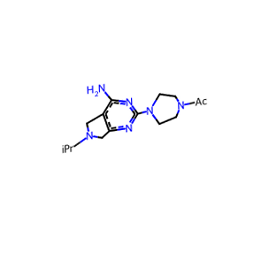 CC(=O)N1CCN(c2nc(N)c3c(n2)CN(C(C)C)C3)CC1